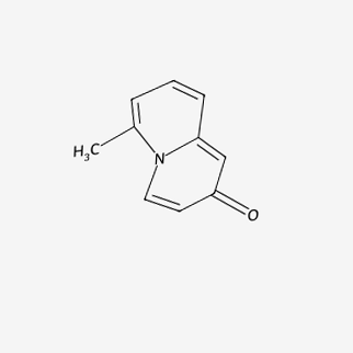 Cc1cccc2cc(=O)ccn12